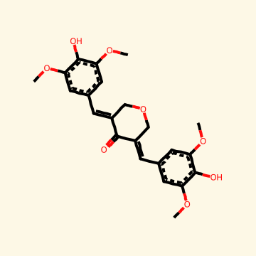 COc1cc(C=C2COCC(=Cc3cc(OC)c(O)c(OC)c3)C2=O)cc(OC)c1O